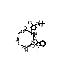 CC1=CCCOC(=O)C[C@H](c2ccc(O[Si](C)(C)C(C)(C)C)c(Cl)c2)NC(=O)[C@@H](Cc2c[nH]c3ccccc23)N(C)C(=O)[C@H](C)NC(=O)CC1